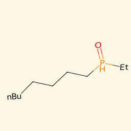 CCCCCCCC[PH](=O)CC